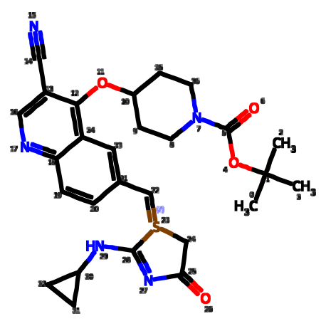 CC(C)(C)OC(=O)N1CCC(Oc2c(C#N)cnc3ccc(/C=S4/CC(=O)N=C4NC4CC4)cc23)CC1